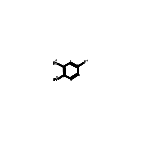 [CH2]C(C)c1cc(F)ccc1C(C)C